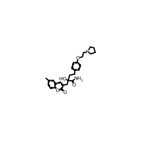 Cc1ccc2oc(=O)c(CC(O)(CCc3ccc(OCCN4CCCC4)cc3)C(N)=O)cc2c1